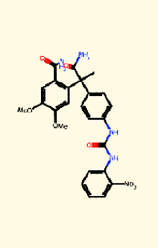 COc1cc(C(N)=O)c(C(C)(C(N)=O)c2ccc(NC(=O)Nc3ccccc3[N+](=O)[O-])cc2)cc1OC